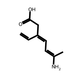 C=C/C(=C\C=C(/C)N)CC(=O)O